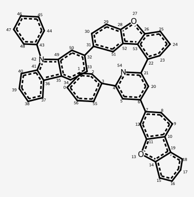 c1ccc(-c2cc(-c3ccc4c(c3)oc3ccccc34)cc(-c3cccc4oc5ccc(-c6ccc7c8ccccc8n(-c8ccccc8)c7c6)cc5c34)n2)cc1